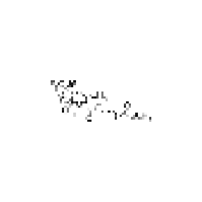 C=CC(=O)OCCOC(=O)OC(C)CC(S(=O)(=O)C(F)(F)F)S(=O)(=O)C(F)(F)F